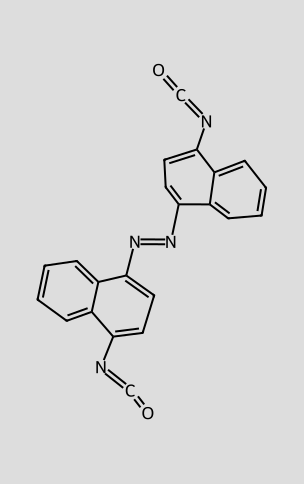 O=C=Nc1ccc(N=Nc2ccc(N=C=O)c3ccccc23)c2ccccc12